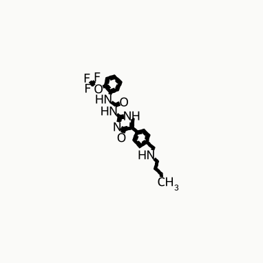 CCCCNCc1ccc(-c2c[nH]c(NC(=O)Nc3ccccc3OC(F)(F)F)nc2=O)cc1